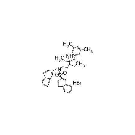 Br.CCC(CCN(Cc1ccc2ccccc2c1)S(=O)(=O)c1ccc2ccccc2c1)C(N)(CC)Cc1cc(C)cc(C)c1